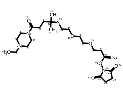 CCN1CCN(C(=O)CCC(C)(C)SCCOCCOCCC(=O)ON2C(=O)CCC2=O)CC1